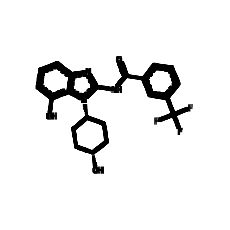 O=C(Nc1nc2cccc(O)c2n1[C@H]1CC[C@@H](O)CC1)c1cccc(C(F)(F)F)c1